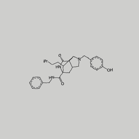 CC(C)CCC1C2C3C(=O)NC1(C(=O)NCc1ccccc1)CC3CN2Cc1ccc(O)cc1